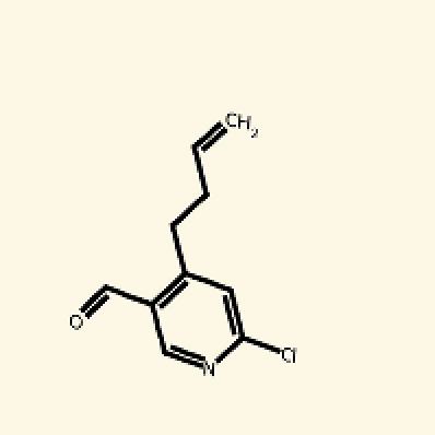 C=CCCc1cc(Cl)ncc1C=O